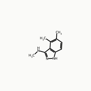 CNc1n[nH]c2ccc(C)c(C)c12